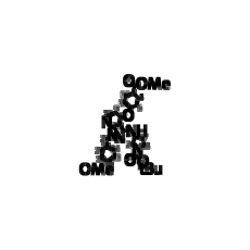 COC(=O)c1ccc(Oc2ccnc3c2c(NC2CCN(C(=O)OC(C)(C)C)C2)nn3Cc2ccc(OC)cc2)cc1